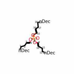 CCCCCCCCCCCC/C=C/OP(=O)(O/C=C/CCCCCCCCCCCC)O/C=C/CCCCCCCCCCCC